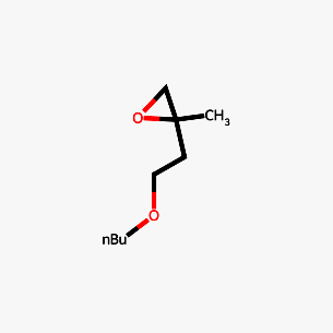 CCCCOCCC1(C)CO1